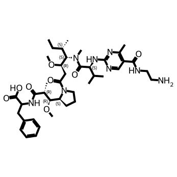 CC[C@H](C)[C@@H]([C@@H](CC(=O)N1CCC[C@H]1[C@H](OC)[C@@H](C)C(=O)NC(Cc1ccccc1)C(=O)O)OC)N(C)C(=O)[C@@H](Nc1ncc(C(=O)NCCN)c(C)n1)C(C)C